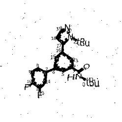 CC(C)(C)NC(=O)c1cc(-c2ccc(F)c(F)c2)cc(-c2ccnn2C(C)(C)C)c1